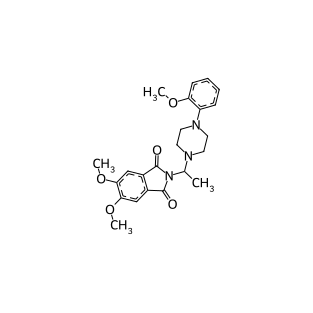 COc1cc2c(cc1OC)C(=O)N(C(C)N1CCN(c3ccccc3OC)CC1)C2=O